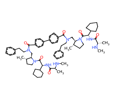 CN[C@@H](C)C(=O)N[C@H](C(=O)N1CC[C@H](C)[C@H]1CN(CCc1ccccc1)C(=O)c1ccc(-c2ccc(C(=O)N(CCc3ccccc3)C[C@@H]3[C@@H](C)CCN3C(=O)[C@@H](NC(=O)[C@H](C)NC)C3CCCCC3)cc2)cc1)C1CCCCC1